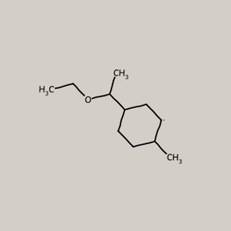 CCOC(C)C1C[CH]C(C)CC1